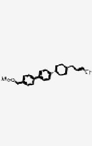 CC=CC[C@H]1CC[C@H](c2ccc(-c3ccc(COC)cc3)cc2)CC1